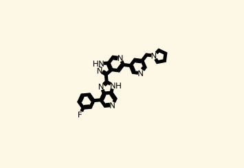 Fc1cccc(-c2cncc3[nH]c(-c4n[nH]c5cnc(-c6cncc(CN7CCCC7)c6)cc45)nc23)c1